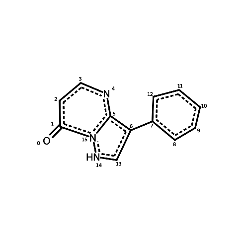 O=c1ccnc2c(-c3ccccc3)c[nH]n12